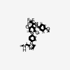 CNCc1nccn1-c1ccc(N2CC(=O)c3c(C(F)(F)F)nn(-c4ccc(OC)cc4)c3C2=O)cc1